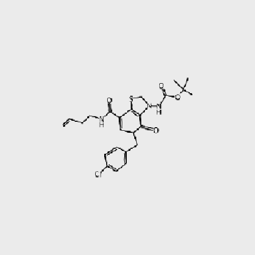 C=CCCNC(=O)C1=CC(Cc2ccc(Cl)cc2)C(=O)C2=C1SCN2NC(=O)OC(C)(C)C